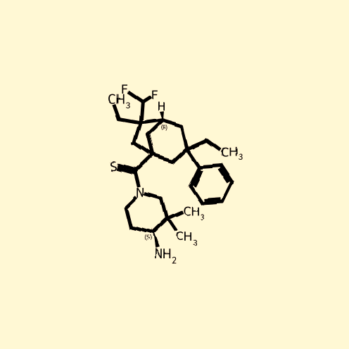 CCC1(c2ccccc2)C[C@@H]2CC(C(=S)N3CC[C@H](N)C(C)(C)C3)(C1)CC2(CC)C(F)F